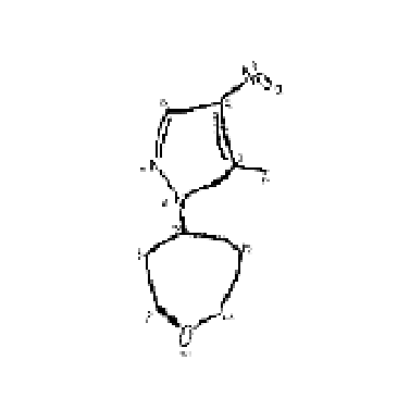 Cc1c([N+](=O)[O-])cnn1C1CCOCC1